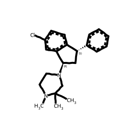 CN1CCN([C@@H]2C[C@@H](c3ccccc3)c3ccc(Cl)cc32)CC1(C)C